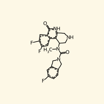 CN(C(=O)N1Cc2ccc(F)cc2C1)C1CNCc2[nH]c(=O)c3cc(F)c(F)cc3c21